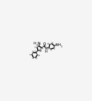 Nc1ccc(NC(=O)c2sc(-c3ccccc3)cc2N)cc1